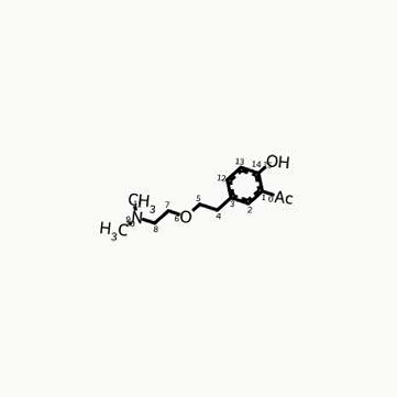 CC(=O)c1cc(CCOCCN(C)C)ccc1O